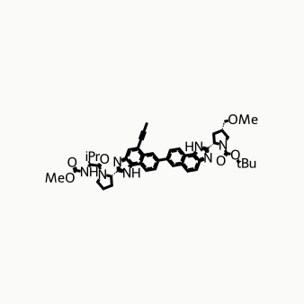 CC#Cc1cc2nc([C@@H]3CCCN3C(=O)[C@@H](NC(=O)OC)C(C)C)[nH]c2c2ccc(-c3ccc4c(ccc5nc([C@@H]6C[C@H](COC)CN6C(=O)OC(C)(C)C)[nH]c54)c3)cc12